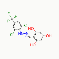 Oc1cc(O)c(/C=N/Nc2c(Cl)cc(C(F)(F)F)cc2Cl)c(O)c1